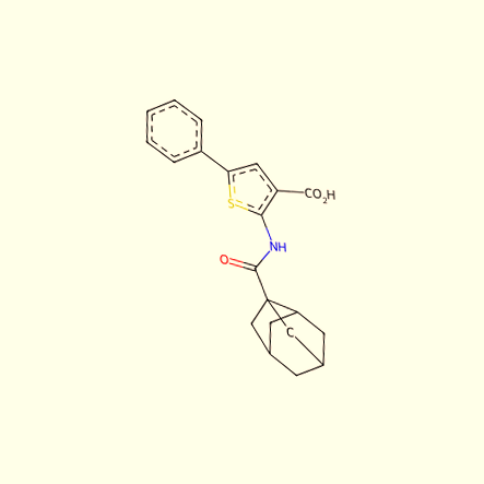 O=C(O)c1cc(-c2ccccc2)sc1NC(=O)C12CC3CC(CC1C3)C2